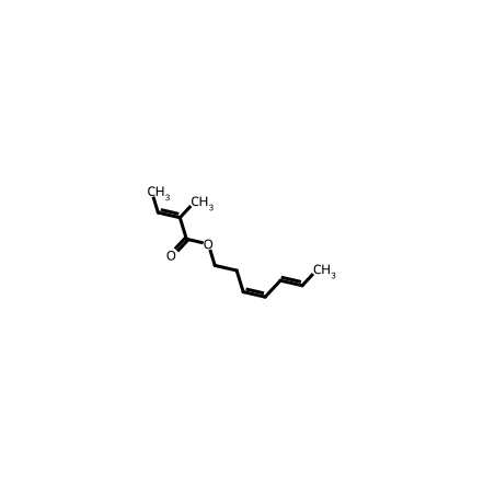 C/C=C/C=C\CCOC(=O)/C(C)=C/C